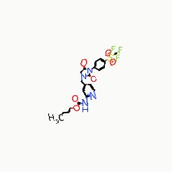 CCCCOC(=O)Nc1cc(CN2CC(=O)N(c3ccc(S(=O)(=O)C(F)(F)F)cc3)C2=O)ccn1